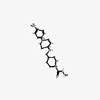 CC(C)(C)OC(=O)N1CCC(COC2CCN(c3ccc(C#N)cc3)CC2)CC1